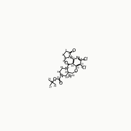 CC1CCC(=O)N1c1nc(Cl)c(Cl)c2c1C(=O)N1CCN(C(=O)OC(C)(C)C)C[C@@H]1CO2